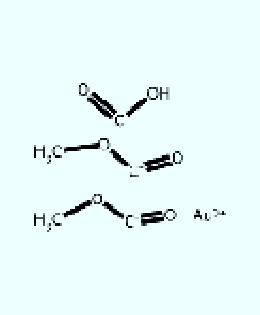 CO[C-]=O.CO[C-]=O.O=[C-]O.[Au+3]